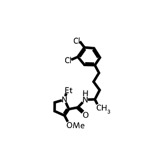 CCN1CCC(OC)=C1C(=O)NC(C)CCCc1ccc(Cl)c(Cl)c1